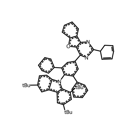 CC(C)(C)c1ccc2c(c1)c1cc(C(C)(C)C)cc(C(C)(C)C)c1n2-c1c(-c2ccccc2)cc(-c2nc(C3C=CC=CC3)nc3c2oc2ccccc23)cc1-c1ccccc1